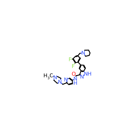 CN1CCN(Cc2ccc(NC(=O)c3n[nH]c4ccc(-c5cc(CN6CCCCC6)cc(F)c5F)cc34)cn2)CC1